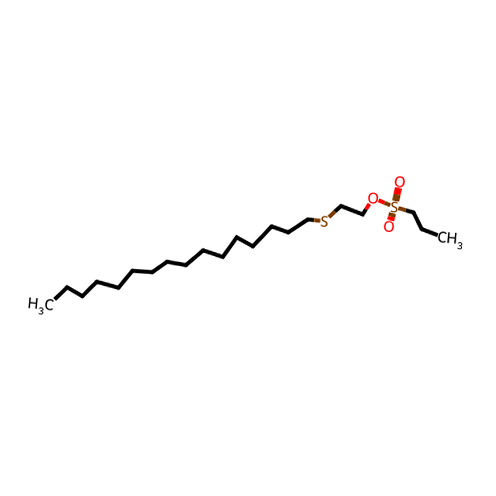 CCCCCCCCCCCCCCCCSCCOS(=O)(=O)CCC